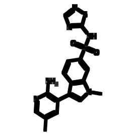 Cc1cnc(N)c(-c2cn(C)c3cc(S(=O)(=O)Nc4ncns4)ccc23)c1